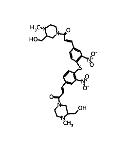 CN1CCN(C(=O)/C=C/c2ccc(Sc3ccc(/C=C/C(=O)N4CCN(C)C(CO)C4)cc3[N+](=O)[O-])c([N+](=O)[O-])c2)CC1CO